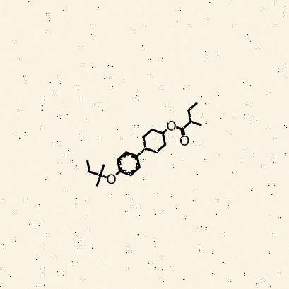 CCC(C)C(=O)OC1CCC(c2ccc(OC(C)(C)CC)cc2)CC1